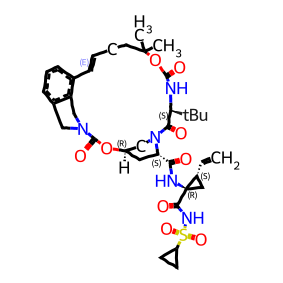 C=C[C@@H]1C[C@]1(NC(=O)[C@@H]1C[C@@H]2CN1C(=O)[C@H](C(C)(C)C)NC(=O)OC(C)(C)CC/C=C/c1cccc3c1CN(C3)C(=O)O2)C(=O)NS(=O)(=O)C1CC1